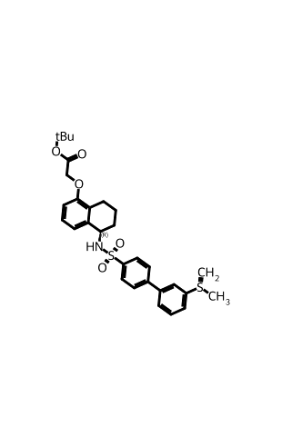 C=S(C)c1cccc(-c2ccc(S(=O)(=O)N[C@@H]3CCCc4c(OCC(=O)OC(C)(C)C)cccc43)cc2)c1